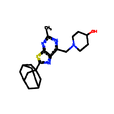 Cc1nc(CN2CCC(O)CC2)c2nc(C34CC5CC(CC(C5)C3)C4)sc2n1